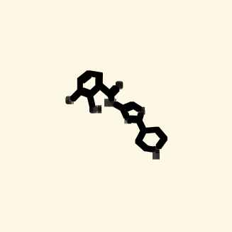 O=C(Nc1csc(C2CCNCC2)n1)c1cccc(Cl)c1O